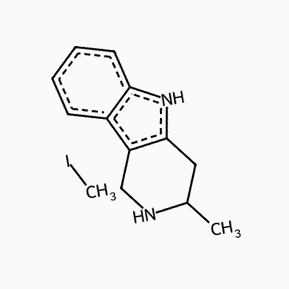 CC1Cc2[nH]c3ccccc3c2CN1.CI